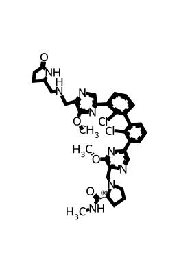 CNC(=O)[C@H]1CCCN1Cc1ncc(-c2cccc(-c3cccc(-c4cnc(CNCC5CCC(=O)N5)c(OC)n4)c3Cl)c2Cl)nc1OC